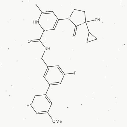 COC1=CNCC(c2cc(F)cc(CNC(=O)C3C=C(N4CCC(C#N)(C5CC5)C4=O)C=C(C)N3)c2)=C1